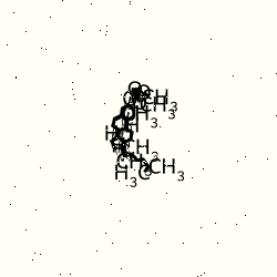 COP(=O)(OC)O[C@H]1CC[C@@]2(C)C(=CC[C@H]3[C@@H]4CC[C@H]([C@H](C)CCCC(C)C)[C@@]4(C)CC[C@@H]32)C1